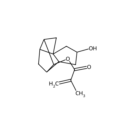 C=C(C)C(=O)OC1C2CC3C1CC31CC(O)CC21